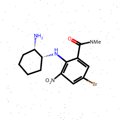 CNC(=O)c1cc(Br)cc([N+](=O)[O-])c1N[C@@H]1CCCC[C@@H]1N